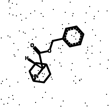 O=C(OCc1ccccc1)[C@H]1NC2CCC1CC2